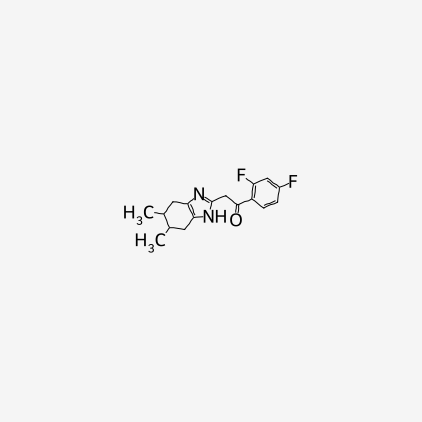 CC1Cc2nc(CC(=O)c3ccc(F)cc3F)[nH]c2CC1C